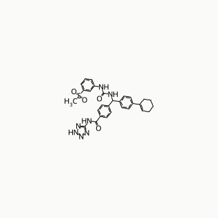 CS(=O)(=O)c1cccc(NC(=O)NC(c2ccc(C(=O)Nc3nn[nH]n3)cc2)c2ccc(C3=CCCCC3)cc2)c1